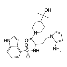 CC(C)(O)C1CCN(C(=O)C(CCn2cccc2N)NS(=O)(=O)c2cccc3[nH]ccc23)CC1